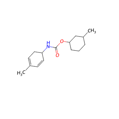 CC1=CCC(NC(=O)OC2CCCC(C)C2)C=C1